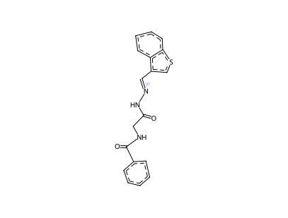 O=C(CNC(=O)c1ccccc1)N/N=C/c1csc2ccccc12